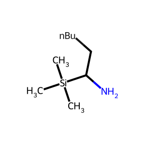 CCCCCC(N)[Si](C)(C)C